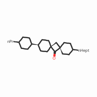 CCCCCCCC1CC[C@]2(CC1)C[C@@]1(CC[C@H](C3CCC(CCC)CC3)CC1)C2=O